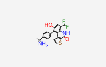 C[C@@H](N)c1ccc(-c2c(O)cc(C(F)F)c3[nH]c(=O)c4sccc4c23)cc1